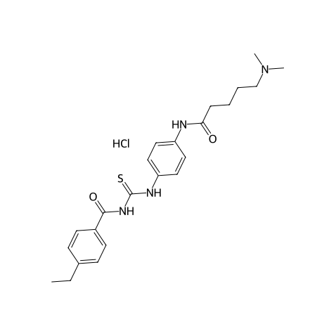 CCc1ccc(C(=O)NC(=S)Nc2ccc(NC(=O)CCCCN(C)C)cc2)cc1.Cl